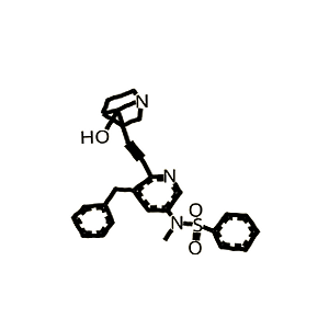 CN(c1cnc(C#CC2(O)CN3CCC2CC3)c(Cc2ccccc2)c1)S(=O)(=O)c1ccccc1